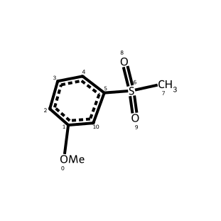 [CH2]Oc1cccc(S(C)(=O)=O)c1